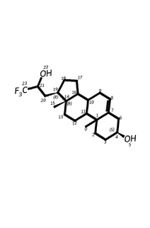 CC12CC[C@H](O)CC1=CCC1C2CC[C@@]2(C)C1CC[C@@H]2CC(O)C(F)(F)F